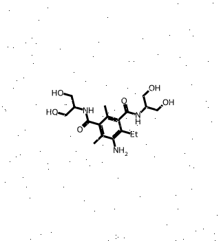 CCc1c(N)c(C)c(C(=O)NC(CO)CO)c(C)c1C(=O)NC(CO)CO